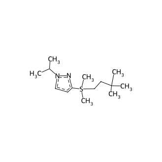 CC(C)n1ccc(S(C)(C)CCC(C)(C)C)n1